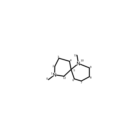 CN1CCCC2(CCCCN2C)C1